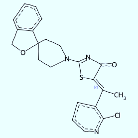 C/C(=C1/SC(N2CCC3(CC2)OCc2ccccc23)=NC1=O)c1cccnc1Cl